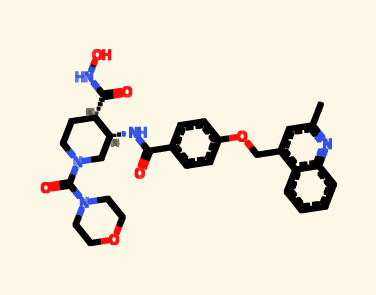 Cc1cc(COc2ccc(C(=O)N[C@@H]3CN(C(=O)N4CCOCC4)CC[C@@H]3C(=O)NO)cc2)c2ccccc2n1